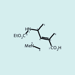 CCOC(=O)NC(C)C=C(C)C(=O)O.CNC